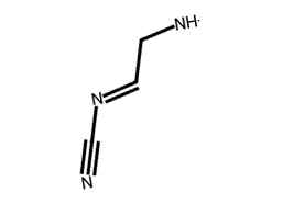 N#CN=CC[NH]